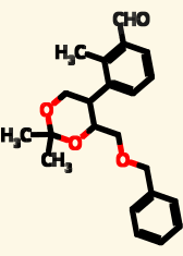 Cc1c(C=O)cccc1C1COC(C)(C)OC1COCc1ccccc1